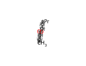 CCCC1CCC(c2ccc(OC(=O)C3CCC(C4CCC(C)CC4)CC3)cc2)CC1